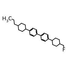 CCCC1CCC(c2ccc(-c3ccc(C4CCC(CF)CC4)cc3)cc2)CC1